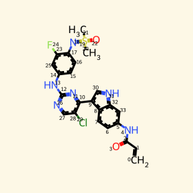 C=CC(=O)Nc1ccc2c(-c3nc(Nc4ccc(N=S(C)(C)=O)c(F)c4)ncc3Cl)c[nH]c2c1